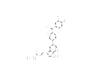 NC(=O)/C=C/c1c[nH]c2ncc(-c3ccc(C(=O)c4ccc(F)c(F)c4)nc3)cc12